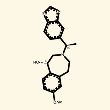 COc1ccc2c(c1)CCN([C@H](C)c1ccc3scnc3c1)C[C@H]2O